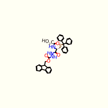 O=C(NNC(=O)[C@@H](CSC(c1ccccc1)(c1ccccc1)c1ccccc1)NC(=O)C(=O)O)OCC1c2ccccc2-c2ccccc21